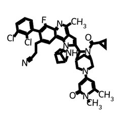 Cc1nc2c(F)c(-c3cccc(Cl)c3Cl)c(CCC#N)cc2c2c1cc(C1C3CC(CN(c4cc(C)n(C)c(=O)c4)C3)N1C(=O)C1CC1)n2C1C2CNC1C2